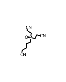 N#CCCCCP(=O)(CCC#N)CCC#N